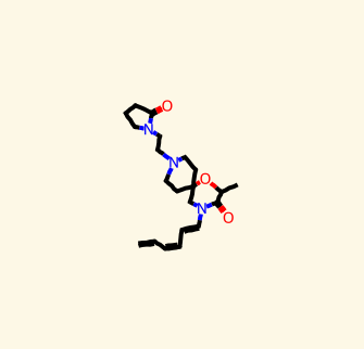 C=C/C=C\C=C\N1CC2(CCN(CCN3CCCC3=O)CC2)OC(C)C1=O